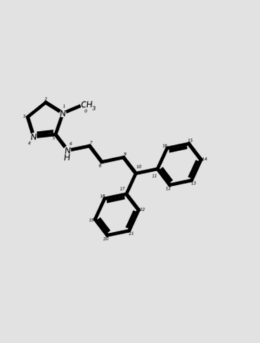 CN1CCN=C1NCCCC(c1ccccc1)c1ccccc1